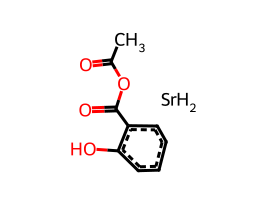 CC(=O)OC(=O)c1ccccc1O.[SrH2]